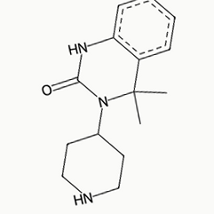 CC1(C)c2ccccc2NC(=O)N1C1CCNCC1